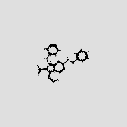 C=C(C)c1c(/C=C\C)c2ccc(OCc3ccccc3)cc2n1Cc1ccccc1